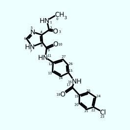 CNC(=O)c1nc[nH]c1C(=O)Nc1ccc(NC(=O)c2ccc(Cl)cc2)cc1